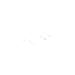 CCCCN(O)[C@H]1[C@@H](F)[C@H](n2ccc(=O)[nH]c2=O)O[C@@H]1CO